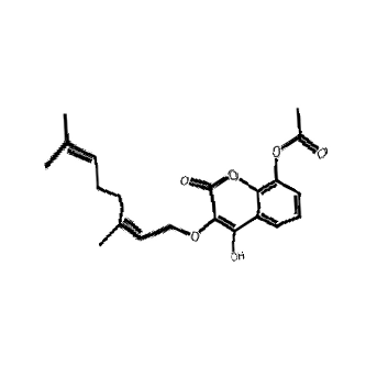 CC(=O)Oc1cccc2c(O)c(OCC=C(C)CCC=C(C)C)c(=O)oc12